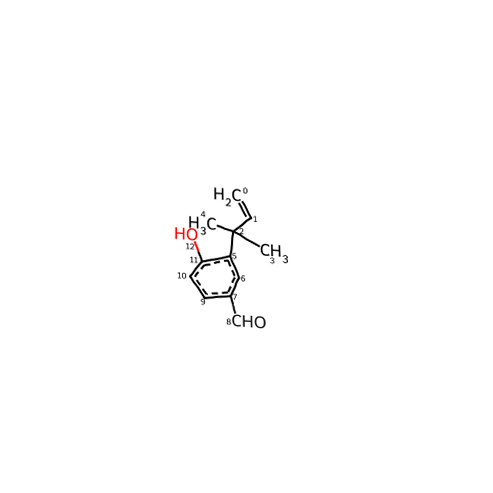 C=CC(C)(C)c1cc(C=O)ccc1O